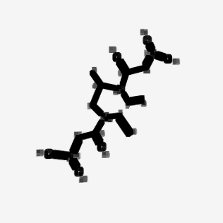 C=CN(CC(C)N(C=C)C(=O)C=S(=O)=O)C(=O)C=S(=O)=O